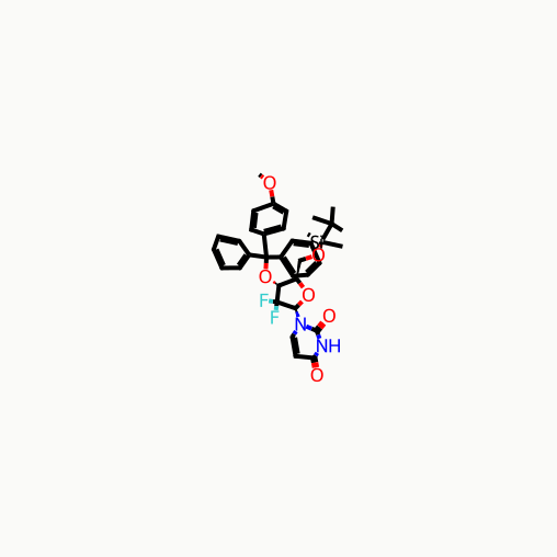 COc1ccc(C(O[C@@H]2[C@@H](CO[Si](C)(C)C(C)(C)C)O[C@@H](n3ccc(=O)[nH]c3=O)C2(F)F)(c2ccccc2)c2ccccc2)cc1